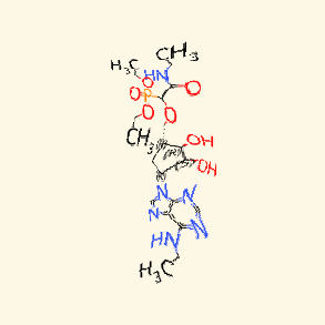 CCNC(=O)C(OC[C@H]1C[C@@H](n2cnc3c(NCC)ncnc32)[C@H](O)[C@@H]1O)P(=O)(OCC)OCC